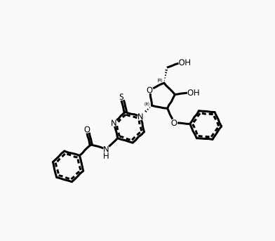 O=C(Nc1ccn([C@@H]2O[C@H](CO)C(O)C2Oc2ccccc2)c(=S)n1)c1ccccc1